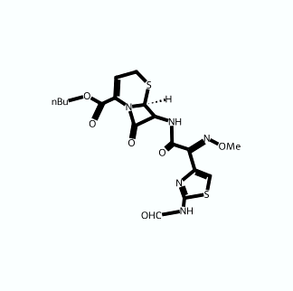 CCCCOC(=O)C1=CCS[C@H]2C(NC(=O)C(=NOC)c3csc(NC=O)n3)C(=O)N12